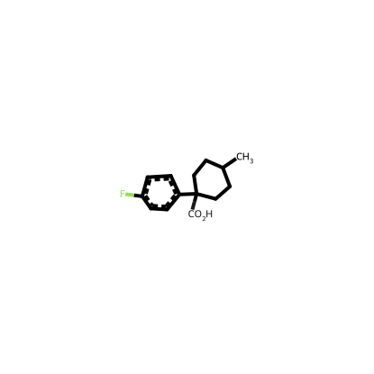 CC1CCC(C(=O)O)(c2ccc(F)cc2)CC1